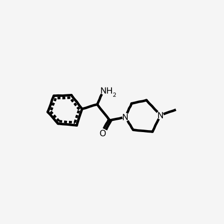 CN1CCN(C(=O)C(N)c2ccccc2)CC1